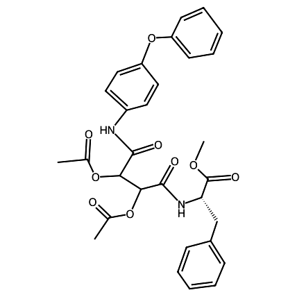 COC(=O)[C@H](Cc1ccccc1)NC(=O)C(OC(C)=O)C(OC(C)=O)C(=O)Nc1ccc(Oc2ccccc2)cc1